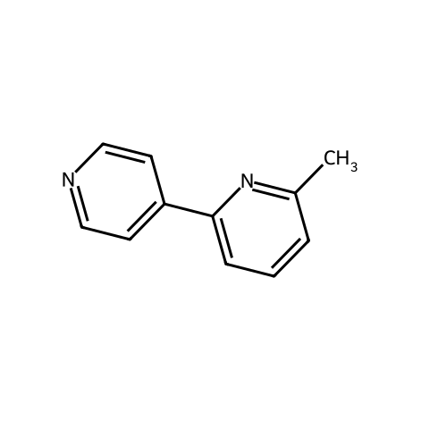 Cc1cccc(-c2ccncc2)n1